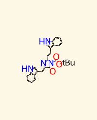 CC(C)(C)OC(=O)N1C(=O)/C(=C/c2c[nH]c3ccccc23)N=C1/C=C/c1c[nH]c2ccccc12